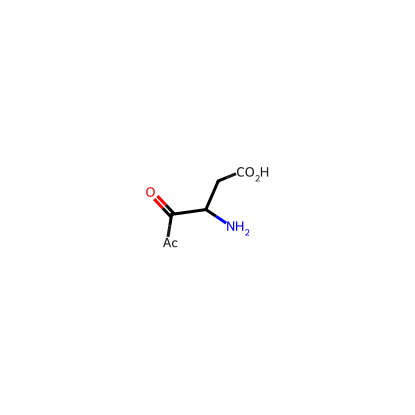 CC(=O)C(=O)C(N)CC(=O)O